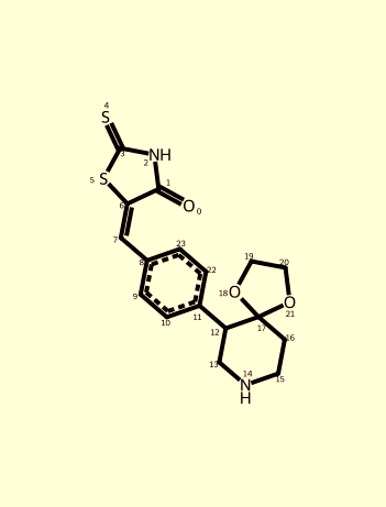 O=C1NC(=S)SC1=Cc1ccc(C2CNCCC23OCCO3)cc1